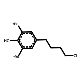 CC(C)(C)c1cc(CCCCCl)cc(C(C)(C)C)c1O